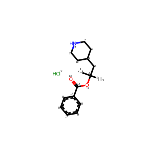 Cl.[2H]C([2H])(CC1CCNCC1)OC(=O)c1ccccc1